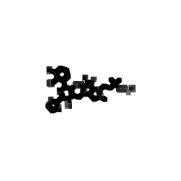 CCOC(=O)C1=C(CN2CC(F)(F)C3C2CN(C)N3CCC(C)(C)C(=O)O)NC(c2nccs2)=NC1c1cccc(F)c1Cl